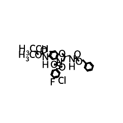 CC(C)(C)OC(=O)Nc1ccc2c(c1)N(S(=O)(=O)c1ccc(F)c(Cl)c1)C[C@H](CNC(=O)OCc1ccccc1)O2